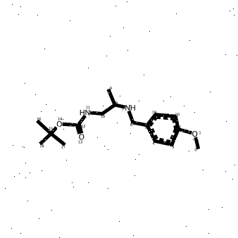 COc1ccc(CNC(C)CNC(=O)OC(C)(C)C)cc1